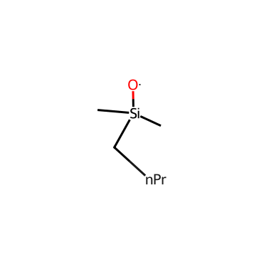 CCCC[Si](C)(C)[O]